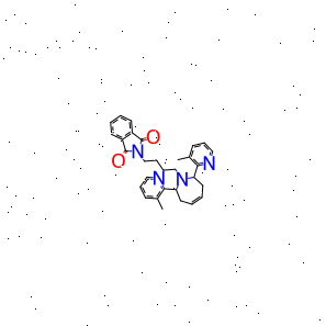 Cc1cccnc1C1CC=CCC(c2ncccc2C)N1CCCCN1C(=O)c2ccccc2C1=O